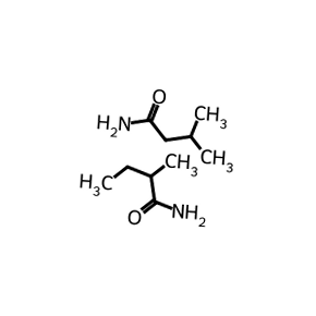 CC(C)CC(N)=O.CCC(C)C(N)=O